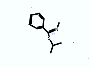 C/N=C(/SC(C)C)c1c[c]ccc1